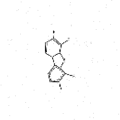 Cc1ccc2c(c1F)SC1C(F)=C(F)C=CC21